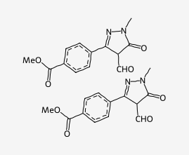 COC(=O)c1ccc(C2=NN(C)C(=O)C2C=O)cc1.COC(=O)c1ccc(C2=NN(C)C(=O)C2C=O)cc1